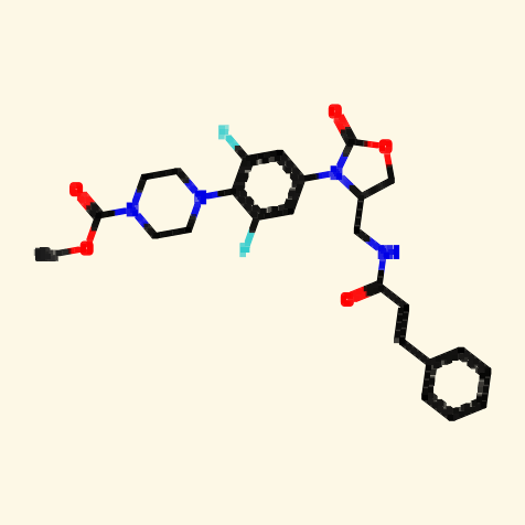 CC(C)(C)OC(=O)N1CCN(c2c(F)cc(N3C(=O)OCC3CNC(=O)C=Cc3ccccc3)cc2F)CC1